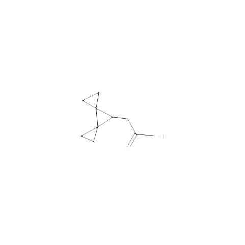 O=C(O)CC1C2(CC2)C12CC2